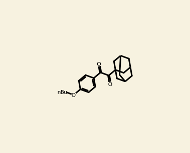 CCCCOc1ccc(C(=O)C(=O)C23CC4CC(CC(C4)C2)C3)cc1